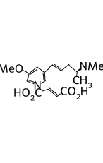 CN[C@@H](C)C/C=C/c1cncc(OC)c1.O=C(O)/C=C/C(=O)O